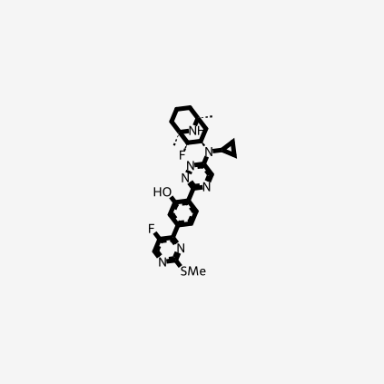 CSc1ncc(F)c(-c2ccc(-c3ncc(N(C4CC4)[C@H]4C[C@]5(C)CCC[C@@](C)(N5)[C@H]4F)nn3)c(O)c2)n1